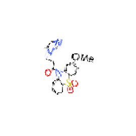 COc1ccc2c(c1)N(C(=O)CCn1ccnc1)c1ccccc1S2(=O)=O